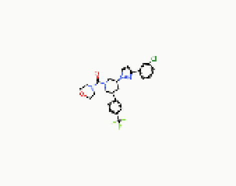 O=C(N1CCOCC1)N1CC(c2ccc(C(F)(F)F)cc2)CC(n2ccc(-c3cccc(Cl)c3)n2)C1